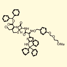 COCCOCOc1ccc(CON=C(C(=O)N[C@@H]2C(=O)N3C(C(=O)OC(c4ccccc4)c4ccccc4)=C(CCl)CS[C@@H]23)c2csc(NC(c3ccccc3)(c3ccccc3)c3ccccc3)n2)cc1